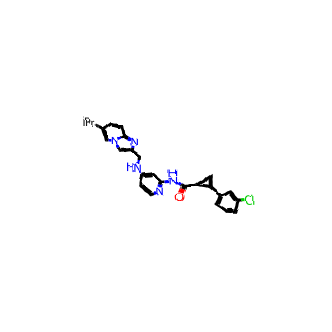 CC(C)c1ccc2nc(CNc3ccnc(NC(=O)C4CC4c4cccc(Cl)c4)c3)cn2c1